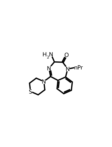 CCCN1C(=O)C(N)N=C(N2CCSCC2)c2ccccc21